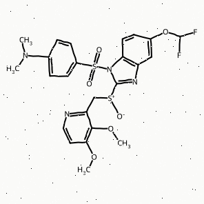 COc1ccnc(C[S+]([O-])c2nc3cc(OC(F)F)ccc3n2S(=O)(=O)c2ccc(N(C)C)cc2)c1OC